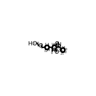 Cn1c(-c2ccc(COCCO)cc2)cc2onc(-c3ccccc3)c2c1=O